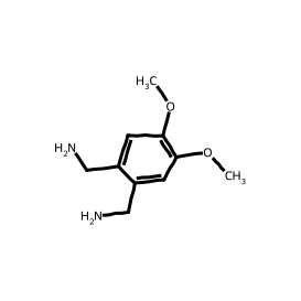 COc1cc(CN)c(CN)cc1OC